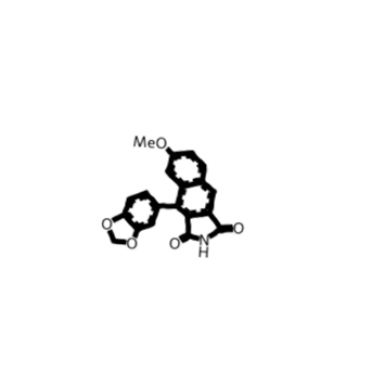 COc1ccc2cc3c(c(-c4ccc5c(c4)OCO5)c2c1)C(=O)NC3=O